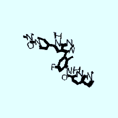 Cc1c(NC(=O)c2ccc3ccn(C)c3n2)cc(F)cc1-c1ncnc2[nH]c(C3=CCN(C(=O)N(C)C)CC3)cc12